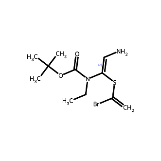 C=C(Br)S/C(=C\N)N(CC)C(=O)OC(C)(C)C